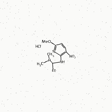 CCC(Nc1nc(OC)ccc1[N+](=O)[O-])N(C)C.Cl